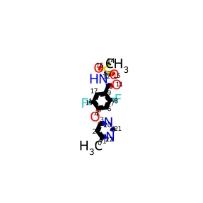 Cc1cc(Oc2cc(F)c(C(=O)NS(C)(=O)=O)cc2F)ncn1